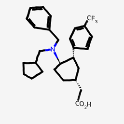 O=C(O)C[C@@H]1CC[C@@H](N(Cc2ccccc2)CC2CCCC2)[C@H](c2ccc(C(F)(F)F)cc2)C1